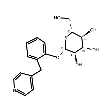 OC[C@H]1S[C@@H](Oc2ccccc2Cc2ccncc2)[C@H](O)[C@@H](O)[C@@H]1O